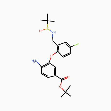 CC(C)(C)OC(=O)c1ccc(N)c(Oc2ccc(F)cc2CN[S+]([O-])C(C)(C)C)c1